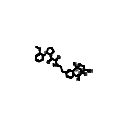 CSc1ccccc1[C@H]1CCCN1C(=O)C(=O)NCCc1ccc2c(c1)[C@H]1C[C@@H](N2)[C@H](O)CO1